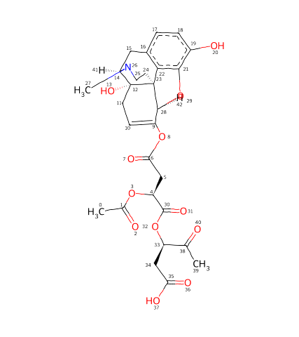 CC(=O)O[C@@H](CC(=O)OC1=CC[C@@]2(O)[C@H]3Cc4ccc(O)c5c4[C@@]2(CCN3C)[C@H]1O5)C(=O)O[C@H](CC(=O)O)C(C)=O